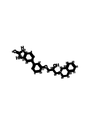 O=c1[nH]c2ccc(-c3cccc(OCC(O)CN4CCc5ccccc5C4)c3)cc2[nH]1